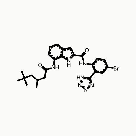 CC(CC(=O)Nc1cccc2cc(C(=O)Nc3ccc(Br)cc3-c3nnn[nH]3)[nH]c12)CC(C)(C)C